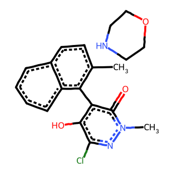 C1COCCN1.Cc1ccc2ccccc2c1-c1c(O)c(Cl)nn(C)c1=O